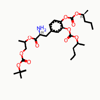 CCCC(C)OC(=O)Oc1cc(C[C@H](N)C(=O)OC(C)COC(=O)OC(C)(C)C)ccc1OC(=O)O[C@@H](C)CCC